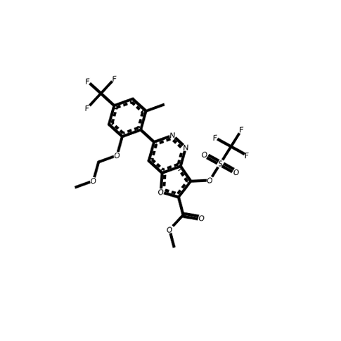 COCOc1cc(C(F)(F)F)cc(C)c1-c1cc2oc(C(=O)OC)c(OS(=O)(=O)C(F)(F)F)c2nn1